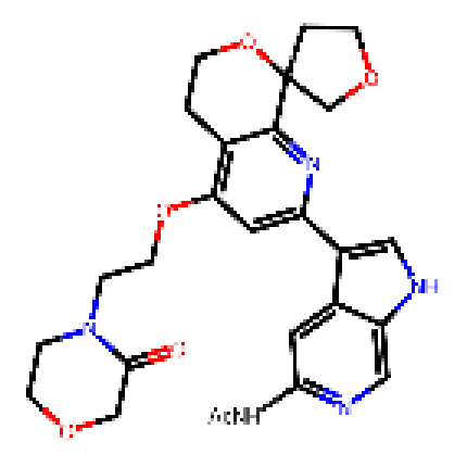 CC(=O)Nc1cc2c(-c3cc(OCCN4CCOCC4=O)c4c(n3)C3(CCOC3)OCC4)c[nH]c2cn1